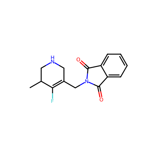 CC1CNCC(CN2C(=O)c3ccccc3C2=O)=C1F